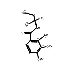 COc1ccc(C(=O)NC(C)(C)CC(C)(C)C)c(O)c1OC